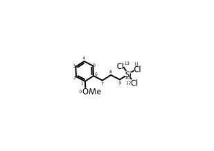 COc1ccccc1CCC[Si](Cl)(Cl)Cl